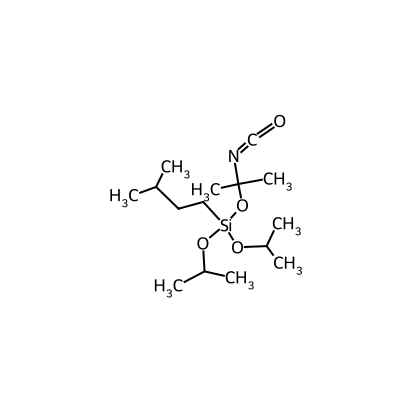 CC(C)CC[Si](OC(C)C)(OC(C)C)OC(C)(C)N=C=O